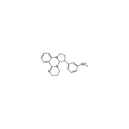 O=[N+]([O-])c1cccc(C2CCN3c4ccccc4C4=NCCCN4C23)c1